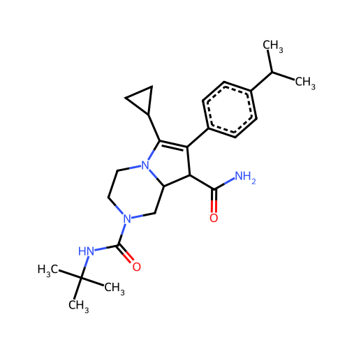 CC(C)c1ccc(C2=C(C3CC3)N3CCN(C(=O)NC(C)(C)C)CC3C2C(N)=O)cc1